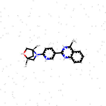 Cc1nc(-c2ccc(N3C[C@H]4C[C@@H]3CO4)nc2)nc2ccccc12